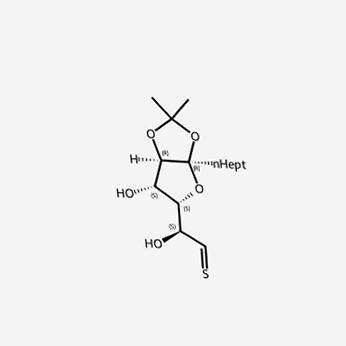 CCCCCCC[C@]12O[C@H]([C@H](O)C=S)[C@H](O)[C@H]1OC(C)(C)O2